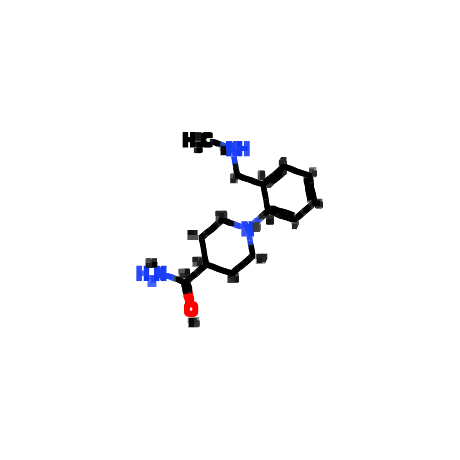 CNCc1ccccc1N1CCC(C(N)=O)CC1